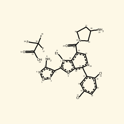 CCn1c(-c2nonc2N)nc2c(-c3cc(Cl)ccc3Cl)ncc(C(=O)N3CCC(N)C3)c21.O=C(O)C(F)(F)F